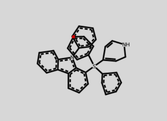 C1=CC(S(c2ccccc2)(c2ccccc2)c2cccc3c4ccccc4n(-c4ccccc4)c23)=CCN1